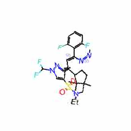 C=C(/C=C(\N=N/C)c1c(F)cccc1F)C1CCC(C)(CN(CC)S(=O)(=O)c2cn(C(F)F)nc2C)C1(C)C